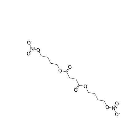 O=C(CCC(=O)OCCCCO[N+](=O)[O-])OCCCCO[N+](=O)[O-]